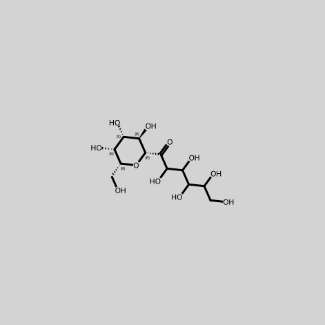 O=C(C(O)C(O)C(O)C(O)CO)[C@@H]1O[C@H](CO)[C@H](O)[C@H](O)[C@H]1O